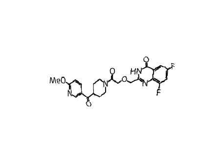 COc1ccc(C(=O)C2CCN(C(=O)COCc3nc4c(F)cc(F)cc4c(=O)[nH]3)CC2)cn1